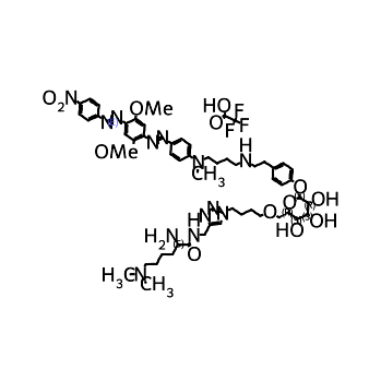 COc1cc(/N=N/c2ccc([N+](=O)[O-])cc2)c(OC)cc1N=Nc1ccc(N(C)CCCCNCCc2ccc(O[C@@H]3O[C@H](COCCCCn4cc(CNC(=O)[C@@H](N)CCCCN(C)C)nn4)[C@@H](O)[C@H](O)[C@H]3O)cc2)cc1.O=C(O)C(F)(F)F